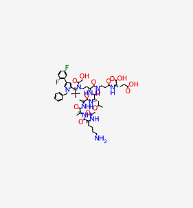 CC(=O)C[C@H](NC(=O)[C@H](C)NC(=O)[C@H](C)NC(=O)[C@H](CCCCN)NC(C)=O)C(=O)N[C@@H](CCN(C(=O)CO)[C@@H](c1cc(-c2cc(F)ccc2F)cn1Cc1ccccc1)C(C)(C)C)C(=O)NCCC(=O)N[C@@H](CCC(=O)O)C(=O)O